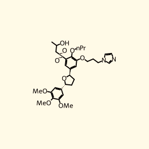 CCCOc1c(OCCCn2ccnc2)cc([C@H]2CC[C@H](c3cc(OC)c(OC)c(OC)c3)O2)cc1S(=O)(=O)CC(C)O